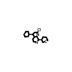 Clc1cc(-c2ccccc2)c2ccnc(-c3ccccc3)c2n1